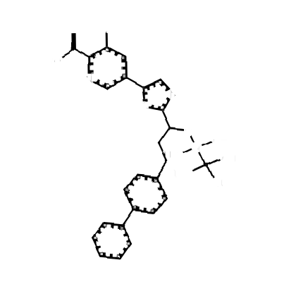 Cc1cc(-c2cnc(C(CCc3ccc(-c4ccccc4)cc3)O[Si](C)(C)C(C)(C)C)o2)cnc1C(=O)O